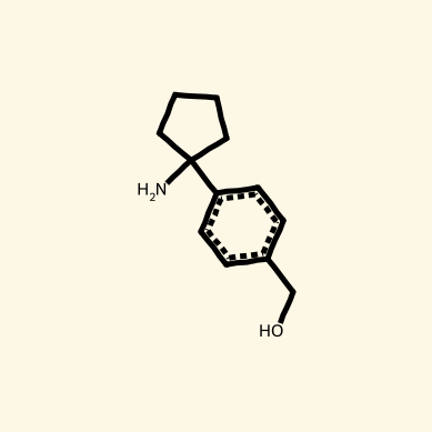 NC1(c2ccc(CO)cc2)CCCC1